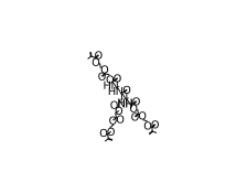 C=C(C)C(=O)OCCOC(=O)COC(=O)NCNC(=O)N(CNC(=O)OCC(=O)OCCOC(=O)C(=C)C)CNC(=O)OCC(=O)OCCOC(=O)C(=C)C